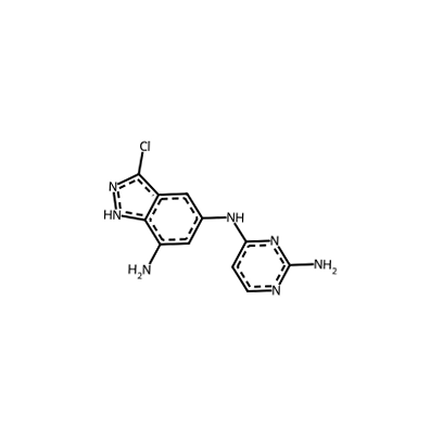 Nc1nccc(Nc2cc(N)c3[nH]nc(Cl)c3c2)n1